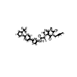 CC#CCn1c(=O)c2c(ncn2[C@@H](C)C(=O)Nc2csc(-c3cnc(N4CCC[C@H]4C(F)(F)F)nc3)n2)n(C)c1=O